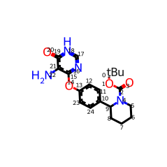 CC(C)(C)OC(=O)N1CCCCC1c1ccc(Oc2nc[nH]c(=O)c2N)cc1